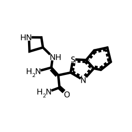 NC(=O)/C(=C(\N)NC1CNC1)c1nc2ccccc2s1